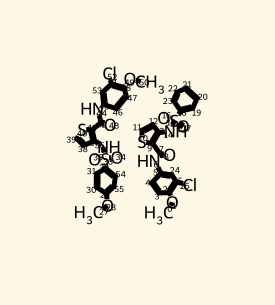 COc1ccc(NC(=O)c2sccc2NS(=O)(=O)c2ccccc2)cc1Cl.COc1ccc(S(=O)(=O)Nc2ccsc2C(=O)Nc2ccc(OC)c(Cl)c2)cc1